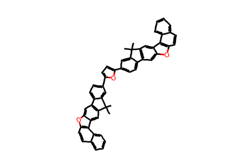 CC1(C)c2cc(-c3ccc(-c4ccc5c(c4)C(C)(C)c4cc6c(cc4-5)oc4ccc5ccccc5c46)o3)ccc2-c2cc3oc4ccc5ccccc5c4c3cc21